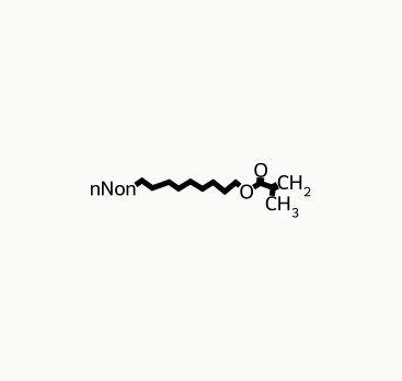 [CH2]CCCCCCCCCCCCCCCCCOC(=O)C(=C)C